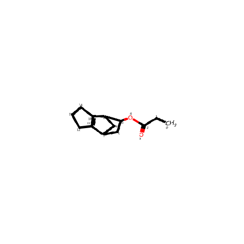 CCC(=O)OC1CC2CC1C1=C2CCC1